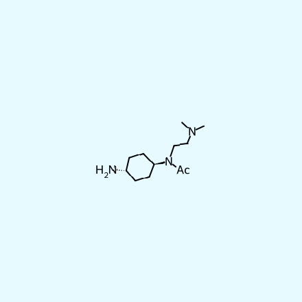 CC(=O)N(CCN(C)C)[C@H]1CC[C@H](N)CC1